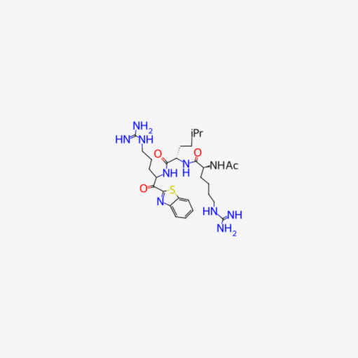 CC(=O)N[C@@H](CCCCNC(=N)N)C(=O)N[C@@H](CCC(C)C)C(=O)NC(CCCNC(=N)N)C(=O)c1nc2ccccc2s1